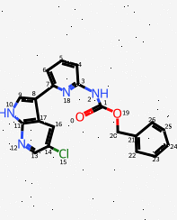 O=C(Nc1cccc(-c2c[nH]c3ncc(Cl)cc23)n1)OCc1ccccc1